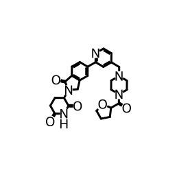 O=C1CCC(N2Cc3cc(-c4cc(CN5CCN(C(=O)C6CCCO6)CC5)ccn4)ccc3C2=O)C(=O)N1